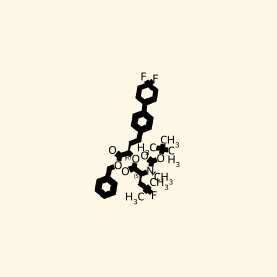 CN(C(=O)OC(C)(C)C)[C@@H](CC(C)(C)F)C(=O)O[C@H](CCc1ccc(C2=CCC(F)(F)CC2)cc1)C(=O)OCc1ccccc1